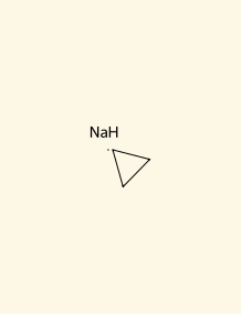 [CH]1CC1.[NaH]